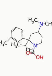 Cc1cccc(C2(C(C)C)CC(N(C)C)CCN2C(=O)O)c1